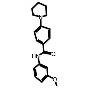 COc1cccc(NC(=O)c2ccc(N3CCCCC3)cc2)c1